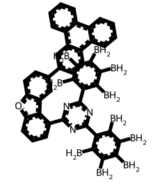 Bc1c(B)c(B)c(-c2nc(-c3c(B)c(B)c(B)c(B)c3B)nc(-c3cccc4oc5ccc(-c6ccc7c8ccccc8c8ccccc8c7c6)cc5c34)n2)c(B)c1B